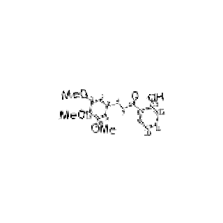 COc1cc(CCC(=O)c2ccccc2O)cc(OC)c1OC